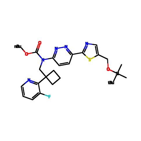 CCCCOC(=O)N(CC1(c2ncccc2F)CCC1)c1ccc(-c2ncc(CO[Si](C)(C)C(C)(C)C)s2)nn1